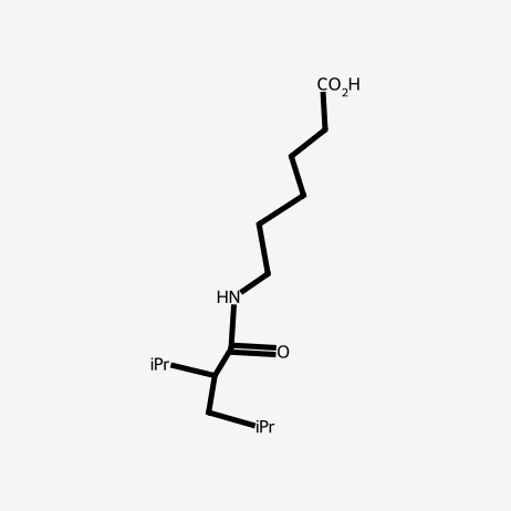 CC(C)CC(C(=O)NCCCCCC(=O)O)C(C)C